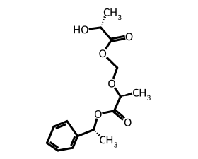 C[C@H](OCOC(=O)[C@@H](C)O)C(=O)O[C@H](C)c1ccccc1